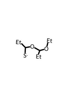 CCOC(CC)OC([S])CC